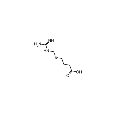 N=C(N)NCSCCCC(=O)O